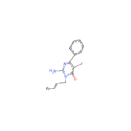 CCC=CCn1c(N)nc(-c2ccccc2)c(I)c1=O